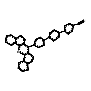 N#Cc1ccc(-c2ccc(-c3ccc(-c4c5ccc6ccccc6c5nc5c4ccc4ccccc45)cc3)cc2)cc1